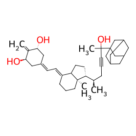 C=C1[C@H](O)CC(=C/C=C2\CCC[C@@]3(C)C2CC[C@@H]3[C@H](C)CC#CC(C)(O)C23CC4CC(CC(C4)C2)C3)C[C@H]1O